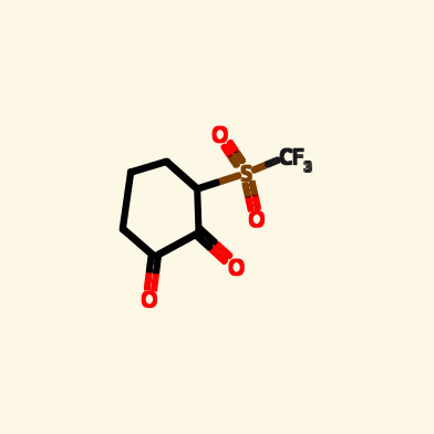 O=C1CCCC(S(=O)(=O)C(F)(F)F)C1=O